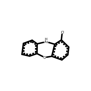 Clc1cccc2c1[AsH]c1ccccc1O2